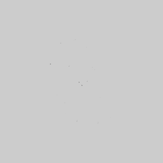 C=Cc1cc2ccc3ccccc3c2nc1-c1ccccc1C